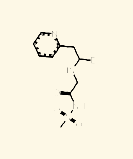 CCC(Cc1ccccn1)NCC(=O)NS(C)(=O)=O